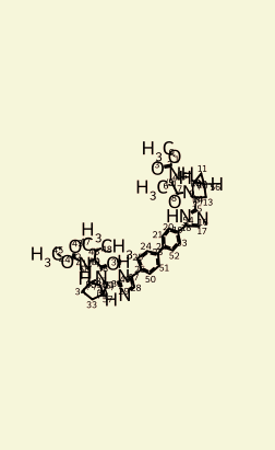 COC(=O)N[C@@H](C)C(=O)N1[C@@H]2C[C@@H]2C[C@H]1c1ncc(-c2ccc(-c3ccc(-c4cnc([C@@H]5[C@H]6CC[C@H](C6)N5C(=O)[C@@H](NC(=O)OC)C(C)C)[nH]4)cc3)cc2)[nH]1